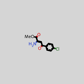 COC(=O)C(N)=CC(=O)c1ccc(Cl)cc1